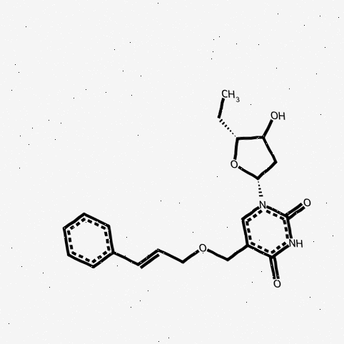 CC[C@H]1O[C@@H](n2cc(COC/C=C/c3ccccc3)c(=O)[nH]c2=O)CC1O